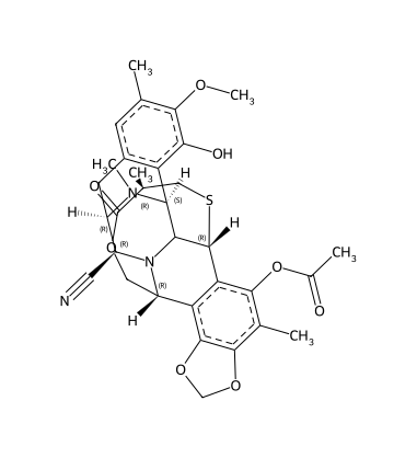 COc1c(C)cc2c(c1O)[C@H]1C3[C@@H]4SC[C@H](C)C(=O)OC[C@@H](c5c6c(c(C)c(OC(C)=O)c54)OCO6)N3[C@@H](C#N)[C@@H](C2)N1C